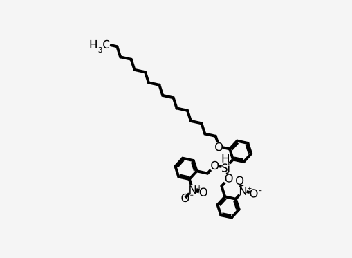 CCCCCCCCCCCCCCCCOc1ccccc1[SiH](OCc1ccccc1[N+](=O)[O-])OCc1ccccc1[N+](=O)[O-]